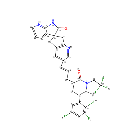 CC1C(c2cc(F)cc(F)c2F)CC(C/C=C/c2cnc3c(c2)CC2(C3)C(=O)Nc3ncccc32)C(=O)N1CC(F)(F)F